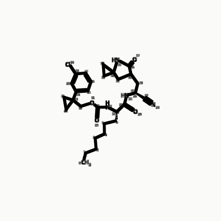 CCCCCCC[C@H](NC(=O)OCC1(c2cccc(Cl)c2)CC1)C(=O)N[C@H](C#N)CC1CC2(CC2)NC1=O